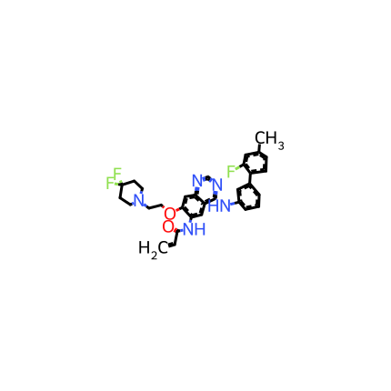 C=CC(=O)Nc1cc2c(Nc3cccc(-c4ccc(C)cc4F)c3)ncnc2cc1OCCN1CCC(F)(F)CC1